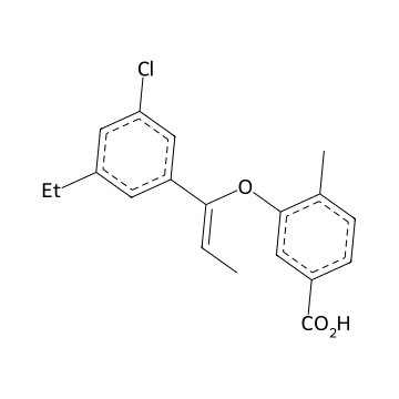 C/C=C(\Oc1cc(C(=O)O)ccc1C)c1cc(Cl)cc(CC)c1